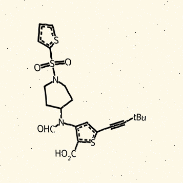 CC(C)(C)C#Cc1cc(N(C=O)C2CCN(S(=O)(=O)c3cccs3)CC2)c(C(=O)O)s1